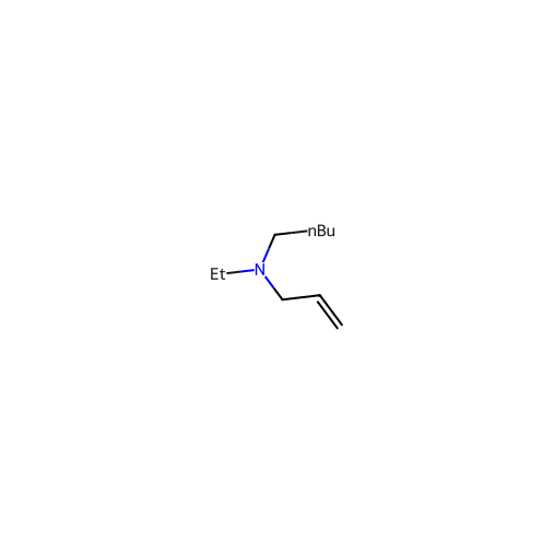 [CH2]CN(CC=C)CCCCC